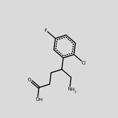 NCC(CCC(=O)O)c1cc(F)ccc1Cl